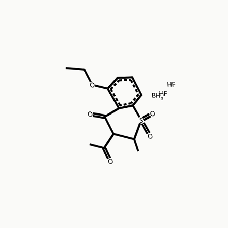 B.CCOc1cccc2c1C(=O)C(C(C)=O)C(C)S2(=O)=O.F.F